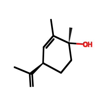 C=C(C)[C@H]1C=C(C)[C@@](C)(O)CC1